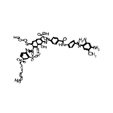 Cc1cc(/N=N/c2ccc(NC(=O)c3ccc(/N=N/c4c(S(=O)(=O)O)cc5cc(SOOO)c(/N=N/c6ccc(S(=O)(=O)CCOSOOO)cc6S(=O)(=O)O)c(N)c5c4O)cc3)cc2)c(N)cc1N